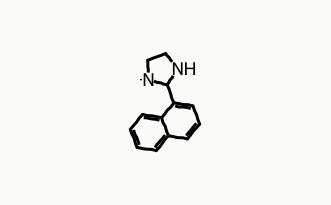 c1ccc2c(C3[N]CCN3)cccc2c1